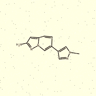 Cn1cc(-c2ccc3cc(N)nn3c2)cn1